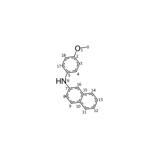 COc1ccc(Nc2ccc3ccccc3c2)cc1